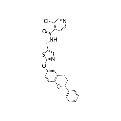 O=C(NCc1cnc(Oc2ccc3c(c2)CCC(c2ccccc2)O3)s1)c1ccncc1Cl